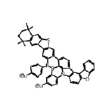 CC(C)(C)c1ccc(N2B3c4cc(C(C)(C)C)ccc4-n4c5ccc6oc7ccccc7c6c5c5ccc(c3c54)-c3cc4sc5cc6c(cc5c4cc32)C(C)(C)CCC6(C)C)cc1